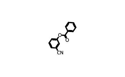 N#Cc1cccc(OC(=O)c2ccccc2)c1